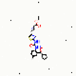 CCOC(=O)/C=C/Cc1csc(NC(=O)Nc2ccc(C)cc2C(=O)C2CCCC2)n1